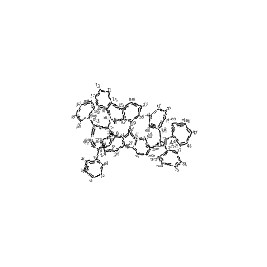 c1ccc(-c2ccc(-n3c4ccccc4c4cccc(-n5c6ccccc6c6ccc([Si](c7ccccc7)(c7ccccc7)c7ccccc7)cc65)c43)c(-c3ccccc3)c2)cc1